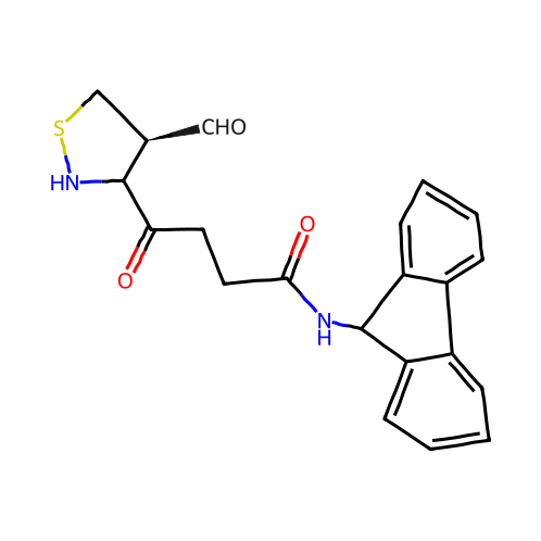 O=C[C@@H]1CSNC1C(=O)CCC(=O)NC1c2ccccc2-c2ccccc21